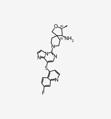 C[C@@H]1OCC2(CCN(c3ncc(Sc4ccnc5cc(F)ccc45)c4nccn34)CC2)[C@@H]1N